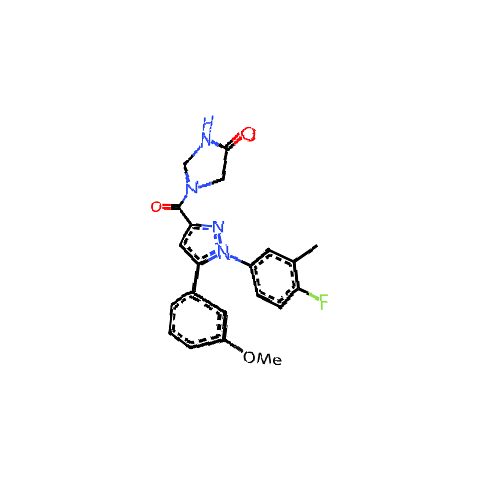 COc1cccc(-c2cc(C(=O)N3CNC(=O)C3)nn2-c2ccc(F)c(C)c2)c1